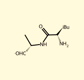 CC[C@H](C)[C@H](N)C(=O)N[C@@H](C)[C]=O